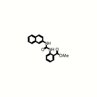 COC(=O)c1ccccc1NC(=O)Nc1ccc2ccccc2c1